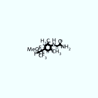 COC(F)(C(F)(F)F)C(F)(F)c1cc(C)c(NCC(N)=O)c(C)c1